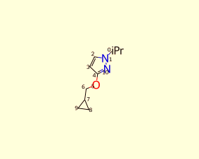 CC(C)n1ccc(OCC2CC2)n1